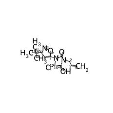 C=CCN1C(=O)N(c2cc(C(C)(C)C)no2)C(Cl)C1O